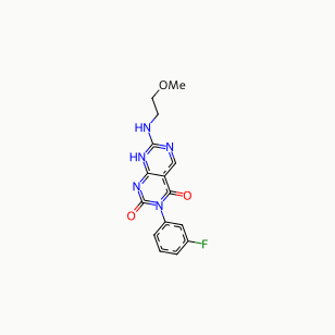 COCCNc1ncc2c(=O)n(-c3cccc(F)c3)c(=O)nc-2[nH]1